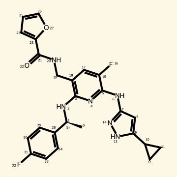 C[C@H](Nc1nc(Nc2cc(C3CC3)[nH]n2)c(F)cc1CNC(=O)c1ccco1)c1ccc(F)cc1